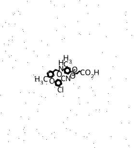 Cc1cc(S(=O)(=O)CCC(=O)O)ccc1NC(=O)Cc1ccc(C)c(Oc2cc(Cl)cc(C#N)c2)c1